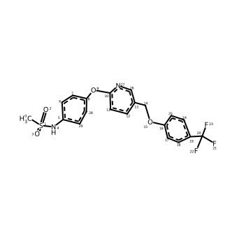 CS(=O)(=O)Nc1ccc(Oc2ccc(COc3ccc(C(F)(F)F)cc3)cn2)cc1